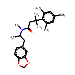 CCN(C(=O)CC(C)(C)c1c(C)cc(C)cc1OC(C)=O)C(C)Cc1ccc2c(c1)OCO2